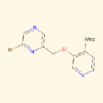 CNc1ccncc1OCc1cncc(Br)n1